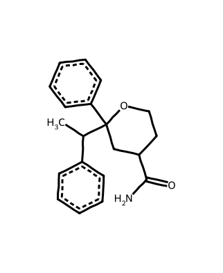 CC(c1ccccc1)C1(c2ccccc2)CC(C(N)=O)CCO1